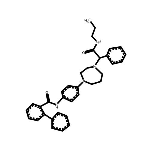 CCCNC(=O)C(c1ccccc1)N1CCCN(c2ccc(NC(=O)c3ccccc3-c3ccccc3)cc2)CC1